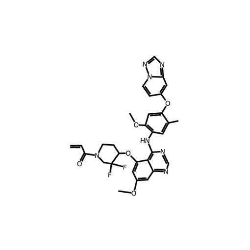 C=CC(=O)N1CCC(Oc2cc(OC)cc3ncnc(Nc4cc(C)c(Oc5ccn6ncnc6c5)cc4OC)c23)C(F)(F)C1